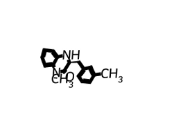 Cc1cccc(C[C@@H]2Nc3ccccc3N(C)C2=O)c1